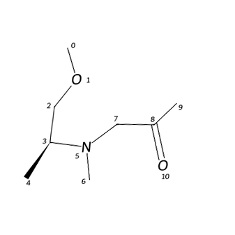 COC[C@H](C)N(C)CC(C)=O